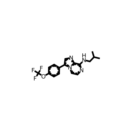 CC(C)CNc1nccn2c(-c3ccc(OC(F)(F)F)cc3)cnc12